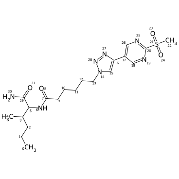 CCCC(C)C(NC(=O)CCCCCn1cc(-c2cnc(S(C)(=O)=O)nc2)nn1)C(N)=O